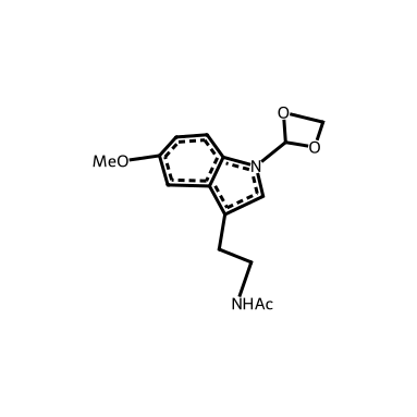 COc1ccc2c(c1)c(CCNC(C)=O)cn2C1OCO1